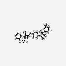 COc1ccccc1NC(=O)CCN1CCC(N(C(C)C)S(=O)(=O)c2cccc(C(F)(F)F)c2)CC1